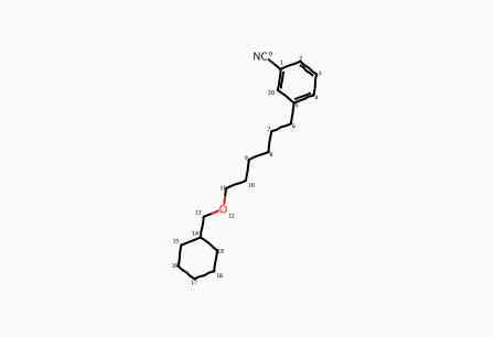 N#Cc1cccc(CCCCCCOCC2CCCCC2)c1